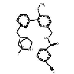 COc1ccc(CNC(=O)c2cccc(C#N)c2)cc1-c1cccc(CN2C[C@@H]3CC2CN3)c1